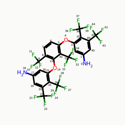 Nc1cc(Oc2ccc(C(F)(F)F)c(Oc3cc(N)cc(C(F)(F)F)c3C(F)(F)F)c2C(F)(F)F)c(C(F)(F)F)c(C(F)(F)F)c1